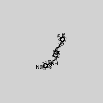 N#Cc1ccc(S(=O)(=O)NCCN2CC3CN(CCCOc4ccc(F)c(F)c4)CC(C2)O3)cc1